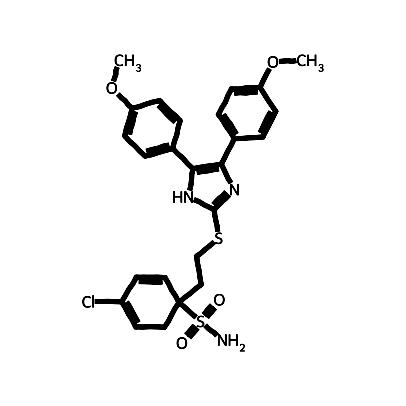 COc1ccc(-c2nc(SCCC3(S(N)(=O)=O)C=CC(Cl)=CC3)[nH]c2-c2ccc(OC)cc2)cc1